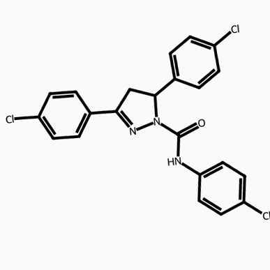 O=C(Nc1ccc(Cl)cc1)N1N=C(c2ccc(Cl)cc2)CC1c1ccc(Cl)cc1